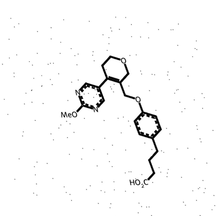 COc1ncc(C2=C(COc3ccc(CCCC(=O)O)cc3)COCC2)cn1